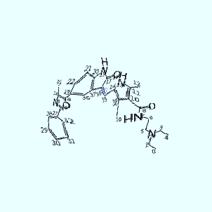 CCN(CC)CCNC(=O)c1c(C)[nH]c(/C=C2\C(=O)Nc3ccc(-c4oc(-c5ccccc5)nc4C)cc32)c1C